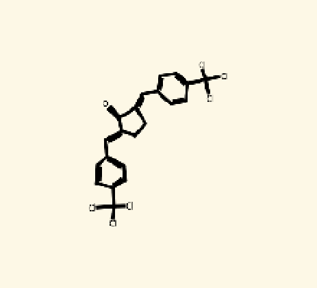 O=C1C(=Cc2ccc(C(Cl)(Cl)Cl)cc2)CCC1=Cc1ccc(C(Cl)(Cl)Cl)cc1